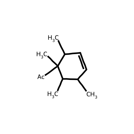 CC(=O)C1(C)C(C)C=CC(C)C1C